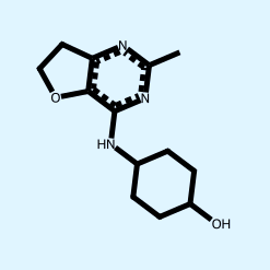 Cc1nc2c(c(NC3CCC(O)CC3)n1)OCC2